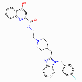 O=C(NCCN1CCC(Cc2nc3ccccc3n2Cc2ccc(F)cc2)CC1)c1cc(O)c2ccccc2n1